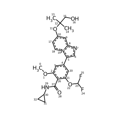 COc1cc(-c2cnc3cc(OC(C)(C)CO)ccn23)cc(OC(F)F)c1C(=O)NC1CC1